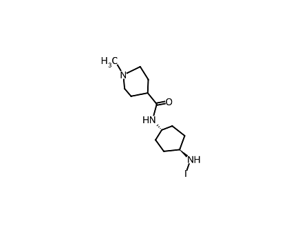 CN1CCC(C(=O)N[C@H]2CC[C@H](NI)CC2)CC1